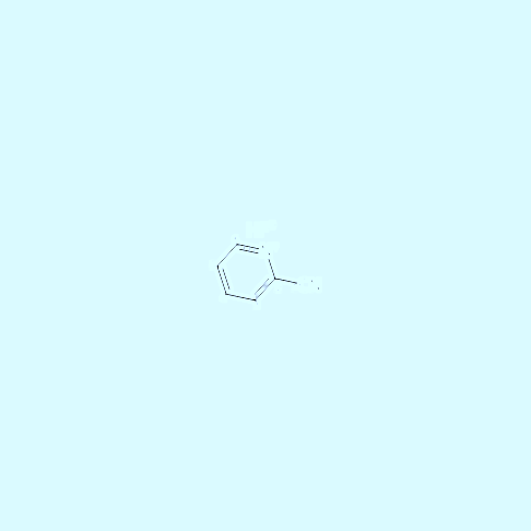 F.N#Cc1ccccn1